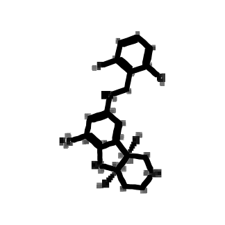 Fc1cccc(Cl)c1CNc1cc2c(c(C(F)(F)F)c1)N[C@@H]1CCNC[C@H]21